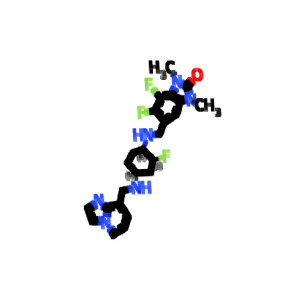 Cn1c(=O)n(C)c2c(F)c(F)c(CN[C@@H]3CC[C@@H](NCc4cccn5ccnc45)C[C@@H]3F)cc21